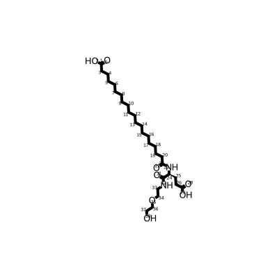 O=C(O)CCCCCCCCCCCCCCCCCCC(=O)N[C@@H](CCC(=O)O)C(=O)NCCOCCO